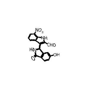 O=Cc1[nH]c2c([N+](=O)[O-])cccc2c1C1NC(=O)c2ccc(O)cc21